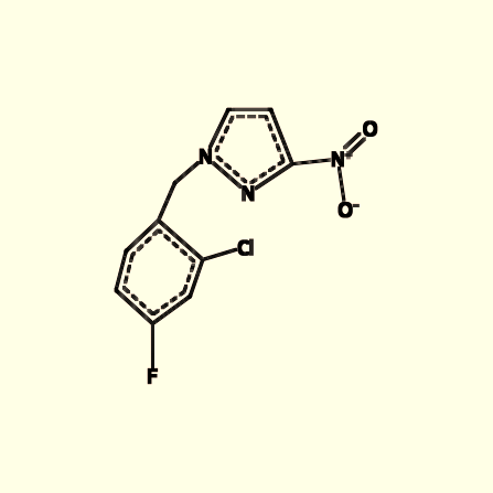 O=[N+]([O-])c1ccn(Cc2ccc(F)cc2Cl)n1